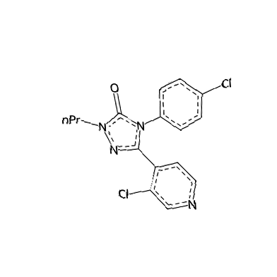 CCCn1nc(-c2ccncc2Cl)n(-c2ccc(Cl)cc2)c1=O